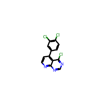 Clc1ccc(-c2ccnc3ncnc(Cl)c23)cc1Cl